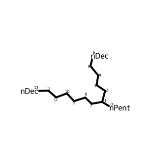 [CH2]CCCCC(CCCCCCCCCCCCCC)CCCCCCCCCCCCCCCC